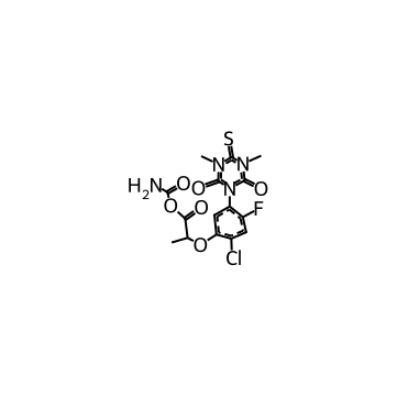 CC(Oc1cc(-n2c(=O)n(C)c(=S)n(C)c2=O)c(F)cc1Cl)C(=O)OC(N)=O